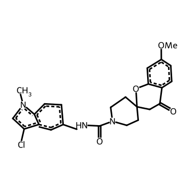 COc1ccc2c(c1)OC1(CCN(C(=O)NCc3ccc4c(c3)c(Cl)cn4C)CC1)CC2=O